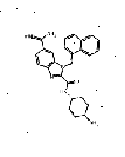 N=C(N)c1ccc2nc(C(=O)N[C@H]3CC[C@H](N)CC3)n(Cc3cccc4ccccc34)c2c1